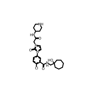 O=C(Cn1ccn(-c2ccc(Cl)c(C(=O)NCC3(O)CCCCCC3)c2)c1=O)NC1CCNCC1